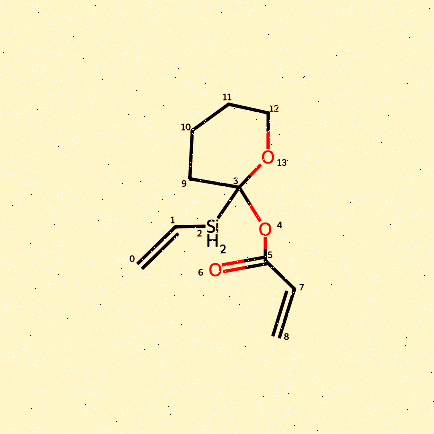 C=C[SiH2]C1(OC(=O)C=C)CCCCO1